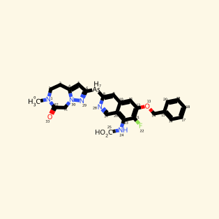 CN1CCc2cc([AsH]c3cc4cc(OCc5ccccc5)c(F)c(NC(=O)O)c4cn3)nn2CC1=O